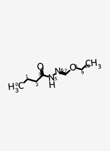 CCCC(=O)NN=COCC